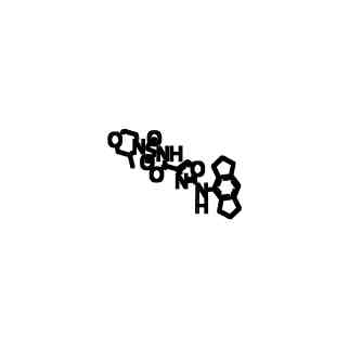 CC1COCCN1S(=O)(=O)NC(=O)c1coc(Nc2c3c(cc4c2CCC4)CCC3)n1